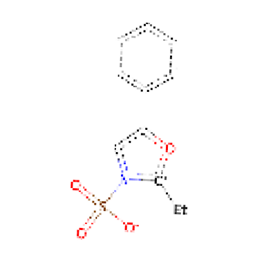 CC[c+]1oc(-c2ccccc2)cn1S(=O)(=O)[O-]